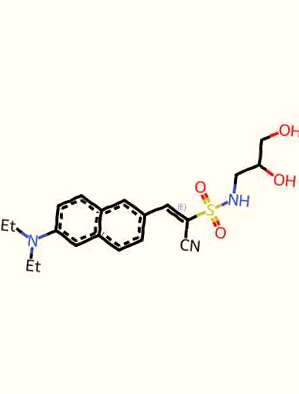 CCN(CC)c1ccc2cc(/C=C(\C#N)S(=O)(=O)NCC(O)CO)ccc2c1